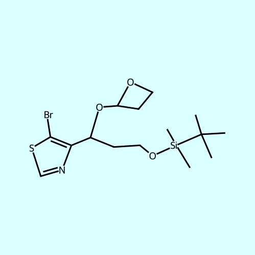 CC(C)(C)[Si](C)(C)OCCC(OC1CCO1)c1ncsc1Br